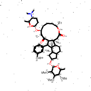 CC[C@H]1CCC[C@H](O[C@H]2CC[C@H](N(C)C)C(C)O2)[C@@H](C)C(=O)C2C(c3cccc(OC)c3)[C@@H]3C(CCC4C[C@@H](O[C@@H]5OC(C)[C@H](OC)C(OC)C5OC)C[C@H]43)[C@@H]2CC(=O)O1